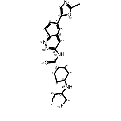 Cc1ncc(-c2ccc3nnc(NC(=O)[C@H]4CC[C@H](NC(CF)CF)CC4)cc3c2)o1